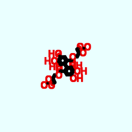 O=C1OCC(COC(=O)c2cc(O)c(O)c(O)c2-c2c(C(=O)OCC3COC(=O)O3)cc(O)c(O)c2O)O1